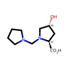 O=C(O)[C@@H]1C[C@@H](O)CN1CN1CCCC1